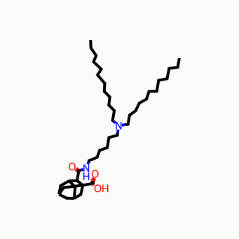 CCCCCCCCCCCCN(CCCCCCCCCCCC)CCCCCCNC(=O)C1C2CC3CC(C2)CC1(C(=O)O)C3